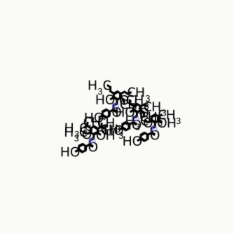 CCCc1cc(CCC)c(OC)c(/C=C/C(=O)c2ccc(O)cc2)c1O.CCc1cc(CC)c(OC)c(/C=C/C(=O)c2ccc(O)cc2)c1O.COc1c(C(C)C)cc(C(C)C)c(O)c1/C=C/C(=O)c1ccc(O)cc1.COc1ccc(C)c(O)c1/C=C/C(=O)c1ccc(O)cc1